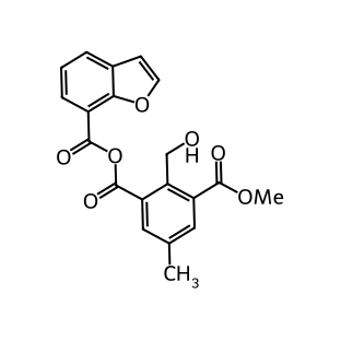 COC(=O)c1cc(C)cc(C(=O)OC(=O)c2cccc3ccoc23)c1CO